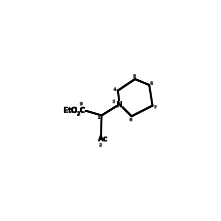 CCOC(=O)C(C(C)=O)N1CCCCC1